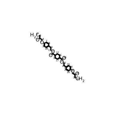 C=CC(=O)COc1ccc(CCOC(=O)C2CCC(C(=O)OCCc3ccc(OCC(=O)C=C)cc3)CC2)cc1